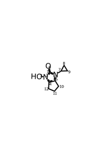 O=c1n(O)c2c(n1C1CC1)CCC2